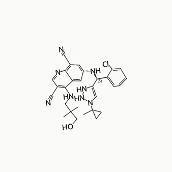 CC(C)(CO)CNc1c(C#N)cnc2c(C#N)cc(N[C@H](C3=CN(C4(C)CC4)NN3)c3ccccc3Cl)cc12